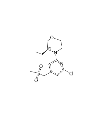 CC[C@H]1COCCN1c1cc(CS(C)(=O)=O)cc(Cl)n1